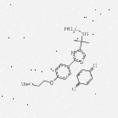 COCCOc1ccc(-c2nc(C(C)(C)NC(=O)O)cs2)cc1.O=C1C=CC(=O)C=C1